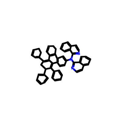 C1=CCCC(C2=c3c4c(c5cc(N(c6nccc7ccccc67)c6nccc7ccccc67)ccc5c3=C(c3ccccc3)C(c3ccccc3)C2)CCC=C4)=C1